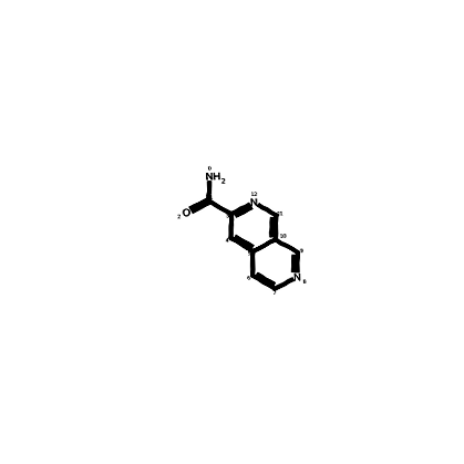 NC(=O)c1cc2ccncc2cn1